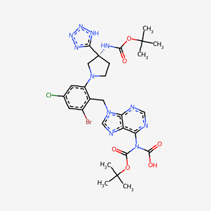 CC(C)(C)OC(=O)N[C@]1(c2nnn[nH]2)CCN(c2cc(Cl)cc(Br)c2Cn2cnc3c(N(C(=O)O)C(=O)OC(C)(C)C)ncnc32)C1